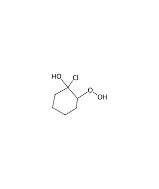 OOC1CCCCC1(O)Cl